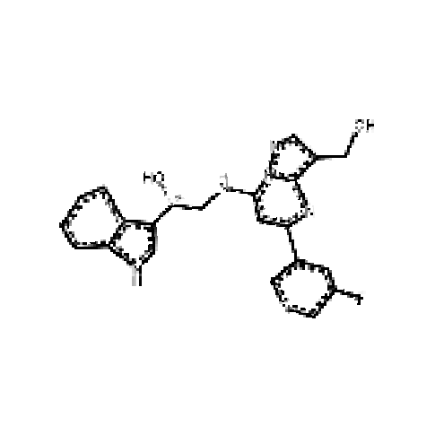 OCc1cnn2c(NC[C@@H](O)c3c[nH]c4ccccc34)cc(-c3cncc(F)c3)nc12